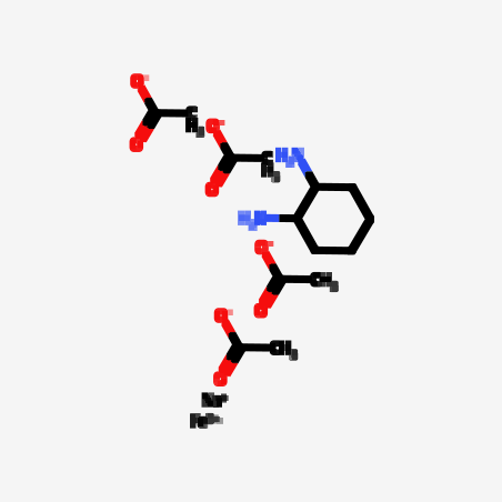 CC(=O)[O-].CC(=O)[O-].CC(=O)[O-].CC(=O)[O-].NC1CCCCC1N.[Fe+3].[Na+]